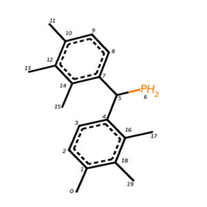 Cc1ccc(C(P)c2ccc(C)c(C)c2C)c(C)c1C